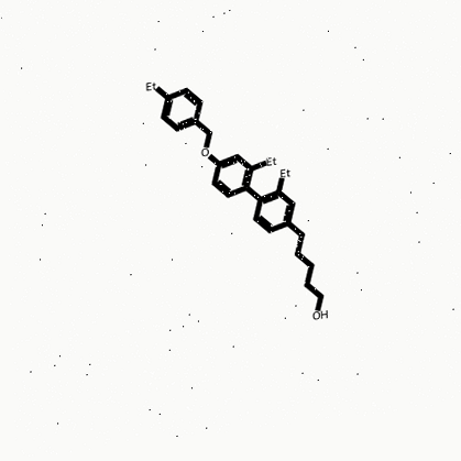 CCc1ccc(COc2ccc(-c3ccc(CCCCCO)cc3CC)c(CC)c2)cc1